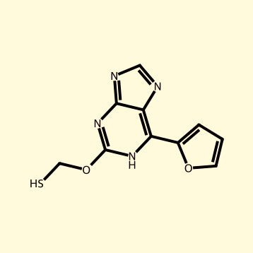 SCOc1nc2ncnc-2c(-c2ccco2)[nH]1